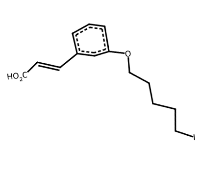 O=C(O)C=Cc1cccc(OCCCCCI)c1